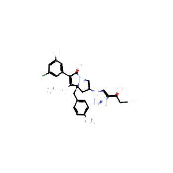 COC1=C(c2cc(Cl)cc(Cl)c2)C(=O)N2CC(n3cc(C(=O)CC(C)C)nn3)CC12Cc1ccc(C#N)cc1